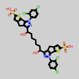 O=S(=O)(O)c1cc2c(s1)-c1c(c(C(O)CCCCCC(O)c3nn(-c4ccc(Cl)cc4Cl)c4c3Cc3cc(S(=O)(=O)O)sc3-4)nn1-c1ccc(Cl)cc1Cl)C2